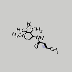 C/C=C/C(=O)NC1CCN(C)C(C)(C)C1C